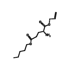 C=CCOC(=O)C(N)CCC(=O)OCCCCC